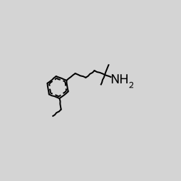 CCc1cccc(CCCC(C)(C)N)c1